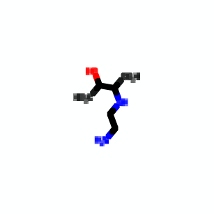 NCCNC(C(=O)O)C(O)C(=O)O